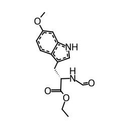 CCOC(=O)[C@H](Cc1c[nH]c2cc(OC)ccc12)NC=O